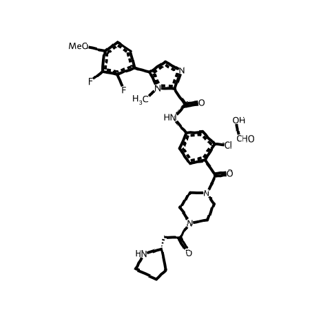 COc1ccc(-c2cnc(C(=O)Nc3ccc(C(=O)N4CCN(C(=O)C[C@@H]5CCCN5)CC4)c(Cl)c3)n2C)c(F)c1F.O=CO